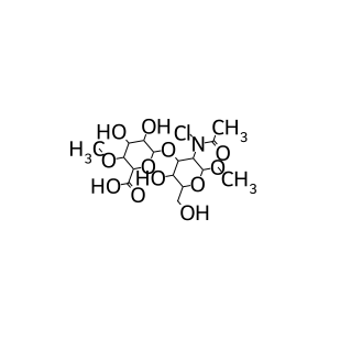 COC1OC(CO)C(O)C(OC2OC(C(=O)O)C(OC)C(O)C2O)C1N(Cl)C(C)=O